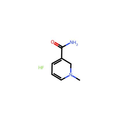 CN1C=CC=C(C(N)=O)C1.F